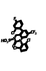 O=C1N(c2c(Cl)cccc2Cl)c2cc(C(F)(F)F)cc(-c3ccc(F)cc3Cl)c2CN1S(=O)(=O)O